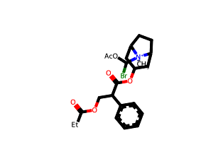 CCC(=O)OCC(C(=O)OC1CC2CCC(C1)[N+]2(C)C(Br)OC(C)=O)c1ccccc1